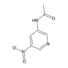 CC(=O)Nc1cn[c]c([N+](=O)[O-])c1